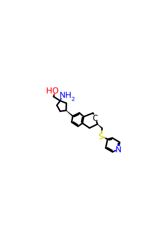 N[C@]1(CO)CC[C@H](c2ccc3c(c2)CC[C@@H](CSc2ccncc2)C3)C1